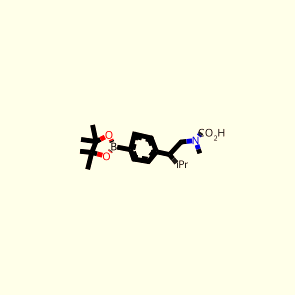 CC(C)C(CN(C)C(=O)O)c1ccc(B2OC(C)(C)C(C)(C)O2)cc1